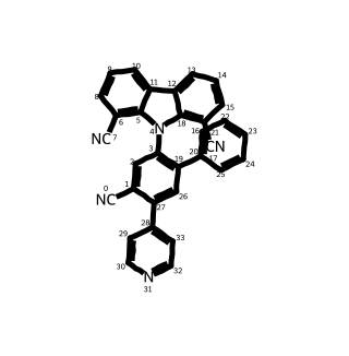 N#Cc1cc(-n2c3c(C#N)cccc3c3cccc(C#N)c32)c(-c2ccccc2)cc1-c1ccncc1